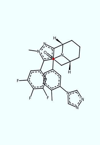 Cc1ccc(C(=O)N2[C@@H]3CCC[C@H]2c2nn(C)c(-c4cc(F)c(F)c(F)c4)c2C3)cc1-n1cnnc1